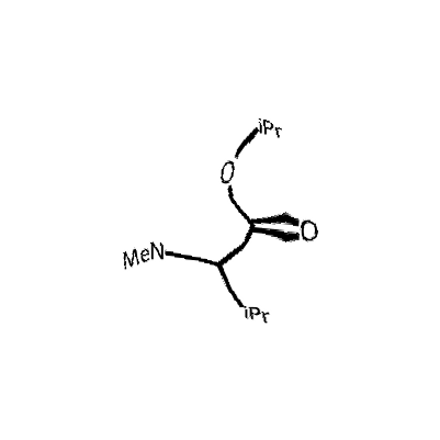 CNC(C(=O)OC(C)C)C(C)C